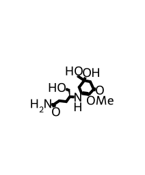 COC1=C(N[C@H](CO)CCC(N)=O)CC(O)(CO)CC1=O